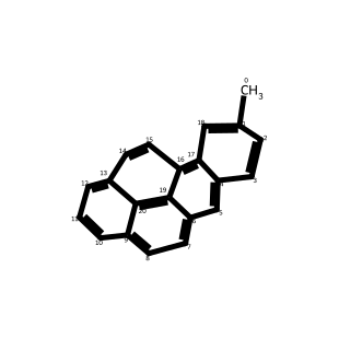 Cc1ccc2cc3ccc4cccc5ccc(c2c1)c3c45